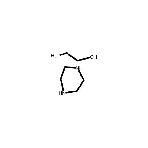 C1CNCCN1.CCCO